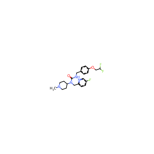 CN1CCC(N(Cc2ccc(F)cn2)C(=O)NCc2ccc(OCC(F)F)cc2)CC1